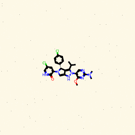 COc1nc(N(C)C)ncc1N1NC2=CN(c3cc(Cl)c[nH]c3=O)[C@H](c3ccc(Cl)cc3)C2=C1C(C)C